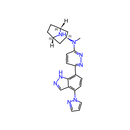 CN(c1ccc(-c2ccc(-n3cccn3)c3cn[nH]c23)nn1)[C@@H]1C[C@H]2CC[C@@H](C1)N2